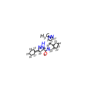 Cn1cc([C@H]2CN(C(=O)c3cc(-c4ccccc4)n[nH]3)Cc3ccccc32)cn1